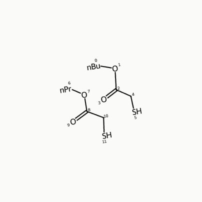 CCCCOC(=O)CS.CCCOC(=O)CS